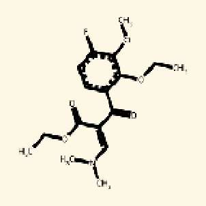 CCOC(=O)C(=CN(C)C)C(=O)c1ccc(F)c(OC)c1OCC